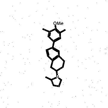 COc1c(C)cc(-c2ccc3c(c2)CCC(N2CCCC2C)C3)cc1C